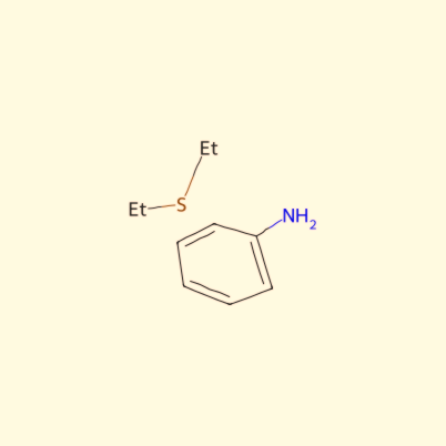 CCSCC.Nc1ccccc1